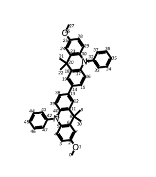 COc1ccc2c(c1)C(C)(C)c1cc(-c3ccc4c(c3)C(C)(C)c3cc(OC)ccc3N4c3ccccc3)ccc1N2c1ccccc1